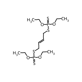 CCOP(=S)(OCC)SCC=CCSP(=S)(OCC)OCC